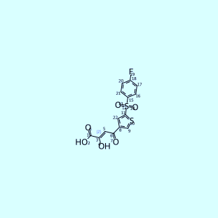 O=C(O)/C(O)=C/C(=O)c1csc(S(=O)(=O)c2ccc(F)cc2)c1